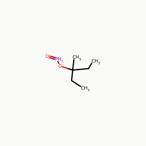 CCC(C)(CC)O[PH2]=O